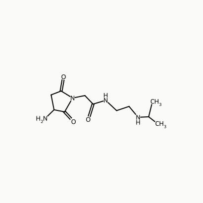 CC(C)NCCNC(=O)CN1C(=O)CC(N)C1=O